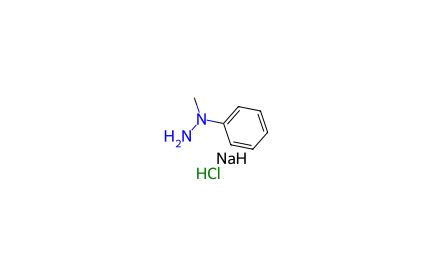 CN(N)c1ccccc1.Cl.[NaH]